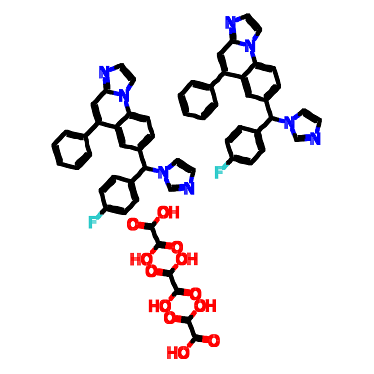 Fc1ccc(C(c2ccc3c(c2)c(-c2ccccc2)cc2nccn23)n2ccnc2)cc1.Fc1ccc(C(c2ccc3c(c2)c(-c2ccccc2)cc2nccn23)n2ccnc2)cc1.O=C(O)C(=O)O.O=C(O)C(=O)O.O=C(O)C(=O)O